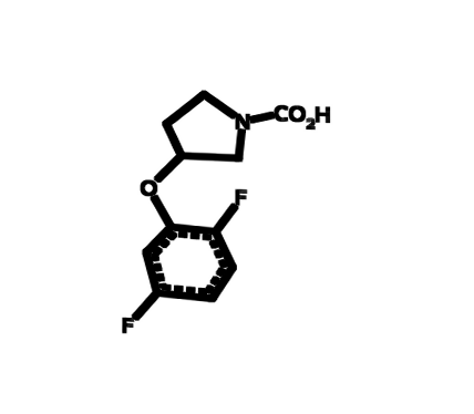 O=C(O)N1CCC(Oc2cc(F)ccc2F)C1